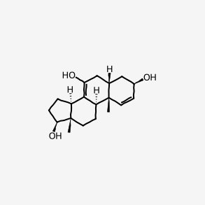 C[C@]12C=C[C@H](O)C[C@H]1CC(O)=C1[C@@H]2CC[C@]2(C)[C@@H](O)CC[C@@H]12